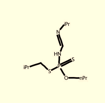 CCCOP(=S)(NC=NC(C)C)SCC(C)C